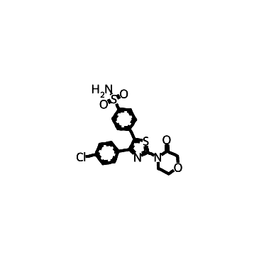 NS(=O)(=O)c1ccc(-c2sc(N3CCOCC3=O)nc2-c2ccc(Cl)cc2)cc1